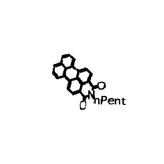 CCCCCN1C(=O)c2ccc3c4cccc5cccc(c6ccc(c2c36)C1=O)c54